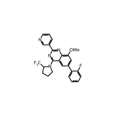 COc1cc(-c2ccccc2F)cc2c(N3CCCC3C(F)(F)F)nc(-c3cccnc3)nc12